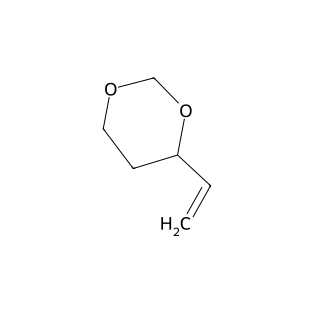 C=CC1CCOCO1